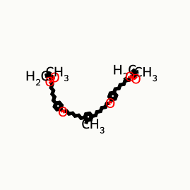 C=C(C)C(=O)OCCCCCCc1ccc(OCCCCCCc2ccc(CCCCCCOc3ccc(CCCCCCOC(=O)C(=C)C)cc3)c(C)c2)cc1